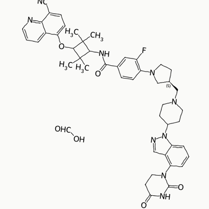 CC1(C)C(NC(=O)c2ccc(N3CC[C@@H](CN4CCC(n5ncc6c(N7CCC(=O)NC7=O)cccc65)CC4)C3)c(F)c2)C(C)(C)C1Oc1ccc(C#N)c2ncccc12.O=CO